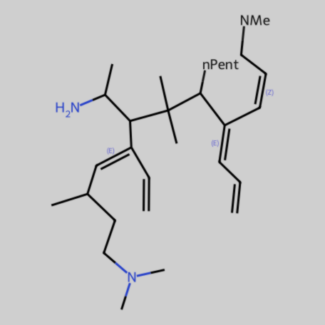 C=C/C=C(\C=C/CNC)C(CCCCC)C(C)(C)C(/C(C=C)=C/C(C)CCN(C)C)C(C)N